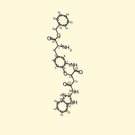 N[C@@H](Cc1ccc2c(c1)NC(=O)C(CC(=O)Nc1nc3ccccc3[nH]1)O2)C(=O)OCc1ccccc1